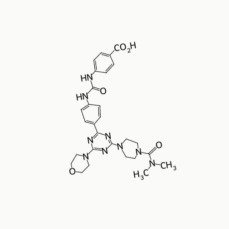 CN(C)C(=O)N1CCN(c2nc(-c3ccc(NC(=O)Nc4ccc(C(=O)O)cc4)cc3)nc(N3CCOCC3)n2)CC1